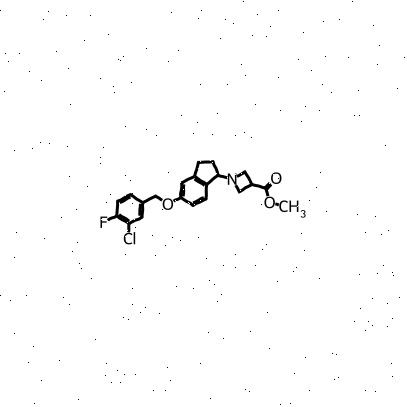 COC(=O)C1CN(C2CCc3cc(OCc4ccc(F)c(Cl)c4)ccc32)C1